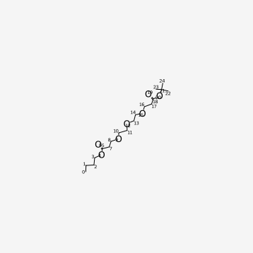 CCCCOC(=O)CCOCCOCCOCCC(=O)OC(C)(C)C